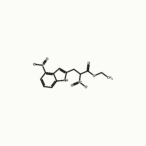 CCOC(=O)C(Cc1cc2c([N+](=O)[O-])cccc2[nH]1)[N+](=O)[O-]